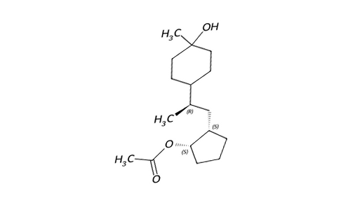 CC(=O)O[C@H]1CCC[C@H]1C[C@@H](C)C1CCC(C)(O)CC1